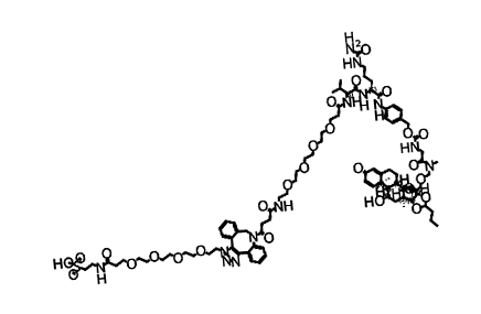 CCCC1O[C@@H]2C[C@H]3[C@@H]4CCC5=CC(=O)C=C[C@]5(C)[C@H]4[C@@H](O)C[C@]3(C)[C@]2(C(=O)COCN(C)C(=O)CNC(=O)OCc2ccc(NC(=O)[C@H](CCCNC(N)=O)NC(=O)[C@@H](NC(=O)CCOCCOCCOCCOCCNC(=O)CCC(=O)N3Cc4ccccc4-c4c(nnn4CCOCCOCCOCCOCCC(=O)NCCS(=O)(=O)O)-c4ccccc43)C(C)C)cc2)O1